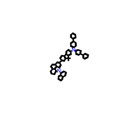 CC1(C)c2cc(-c3cc4ccc5cccc6c5c4c(c3)n6-c3cccc4ccccc34)ccc2-c2ccc(N(c3ccc(-c4ccccc4)cc3)c3ccc(-c4ccccc4)cc3)cc21